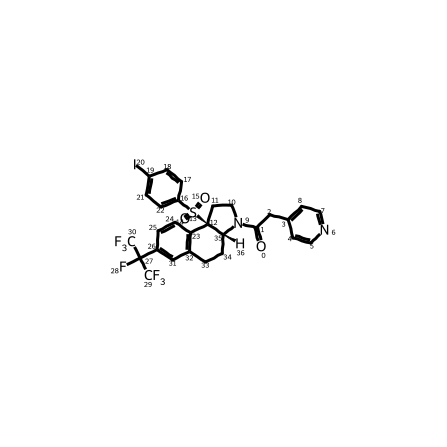 O=C(Cc1ccncc1)N1CC[C@@]2(S(=O)(=O)c3ccc(I)cc3)c3ccc(C(F)(C(F)(F)F)C(F)(F)F)cc3CC[C@@H]12